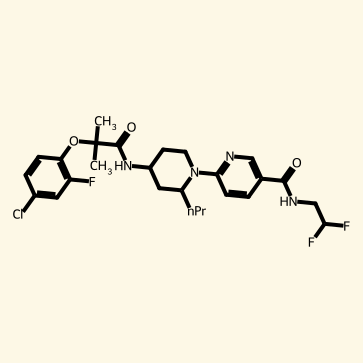 CCCC1CC(NC(=O)C(C)(C)Oc2ccc(Cl)cc2F)CCN1c1ccc(C(=O)NCC(F)F)cn1